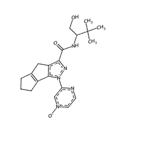 CC(C)(C)C(CO)NC(=O)c1nn(-c2c[n+]([O-])ccn2)c2c1CC1=C2CCC1